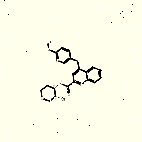 COc1ccc(Cc2cc(C(=O)N[C@H]3CCOC[C@H]3O)nc3ccccc23)cn1